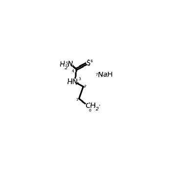 [CH2]CCNC(N)=S.[NaH]